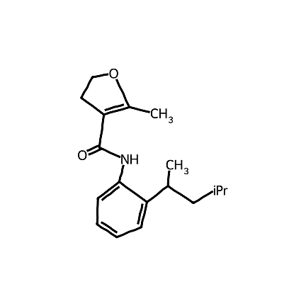 CC1=C(C(=O)Nc2ccccc2C(C)CC(C)C)CCO1